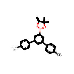 C=C1OB(c2cc(-c3ccc(C(F)(F)F)cc3)cc(-c3ccc(C(F)(F)F)cc3)c2)OC1(C)C